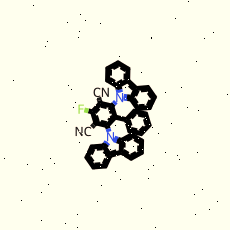 N#Cc1c(F)c(C#N)c(-n2c3ccccc3c3ccccc32)c(-c2ccccc2)c1-n1c2ccccc2c2ccccc21